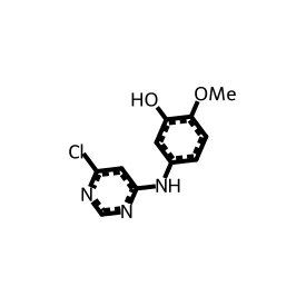 COc1ccc(Nc2cc(Cl)ncn2)cc1O